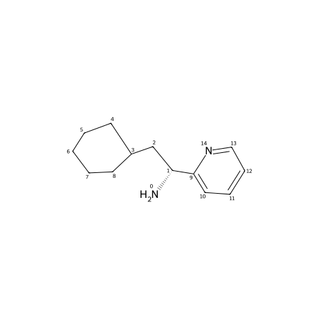 N[C@H](CC1CCCCC1)c1ccccn1